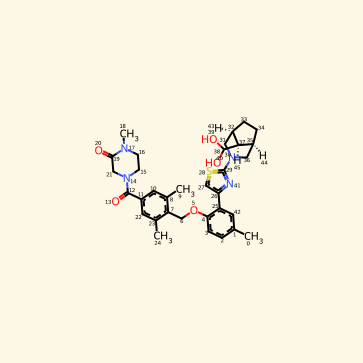 Cc1ccc(OCc2c(C)cc(C(=O)N3CCN(C)C(=O)C3)cc2C)c(-c2csc(N3C[C@H]4CC[C@@H](C3)[C@H]4C(O)O)n2)c1